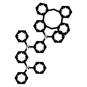 c1ccc(N(c2ccccc2)c2cccc(N(c3ccccc3)c3cccc(N(c4ccccc4)c4cccc5c4Cc4ccccc4-c4ccccc4Cc4ccccc4-5)c3)c2)cc1